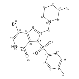 Cc1ccc(S(=O)(=O)n2c(CN3CCCC(C)C3)cc3c(Br)c[nH]c(=O)c32)cc1